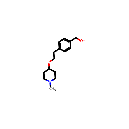 CN1CCC(OCCc2ccc(CO)cc2)CC1